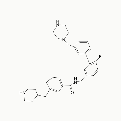 O=C(NCc1ccc(F)c(-c2cccc(CN3CCNCC3)c2)c1)c1cccc(CC2CCNCC2)c1